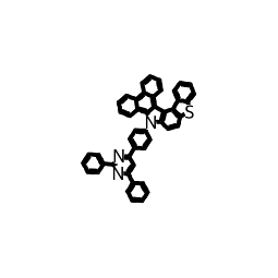 c1ccc(-c2cc(-c3ccc(-n4c5ccc6sc7ccccc7c6c5c5c6ccccc6c6ccccc6c54)cc3)nc(-c3ccccc3)n2)cc1